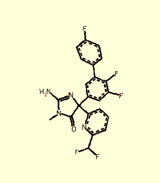 CN1C(=O)C(c2cc(F)c(F)c(-c3ccc(F)cc3)c2)(c2cccc(C(F)F)n2)N=C1N